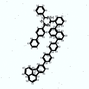 c1ccc(-c2ccc(C3=NC(c4ccccc4)NC(c4ccccc4-c4cccc5c(-c6ccc(-c7ccc(-c8ccc9c(c8)-c8cccc%10cccc-9c8%10)cc7)cc6)cccc45)=N3)cc2)cc1